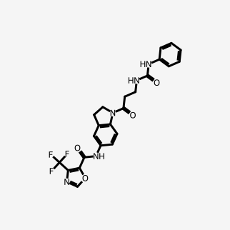 O=C(NCCC(=O)N1CCc2cc(NC(=O)c3ocnc3C(F)(F)F)ccc21)Nc1ccccc1